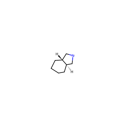 C1CC[C@@H]2C[N]C[C@H]2C1